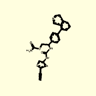 C#Cc1nc(NC(=O)NC(COC(N)=O)c2ccc(-c3cccc4ccncc34)cc2)cs1